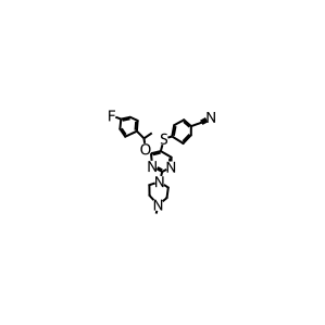 CC(Oc1nc(N2CCN(C)CC2)ncc1Sc1ccc(C#N)cc1)c1ccc(F)cc1